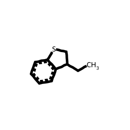 CCC1CSc2ccccc21